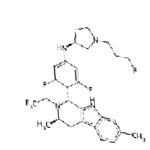 Cc1ccc2c3c([nH]c2c1)[C@@H](C1C(F)=CC(N[C@H]2CCN(CCCF)C2)=CC1F)N(CC(F)(F)F)[C@H](C)C3